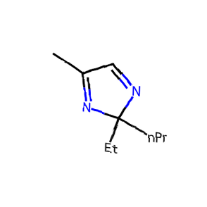 CCCC1(CC)N=CC(C)=N1